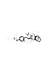 CNC(=O)c1ccc(-c2ccc(N(C)[C@H]3CC4CCC(N4)[C@H]3F)nn2)c(O)c1